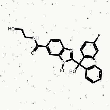 CCn1c(C(O)(c2ccccc2)c2ccc(F)cc2F)nc2ccc(C(=O)NCCO)cc21